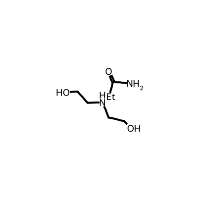 CCC(N)=O.OCCNCCO